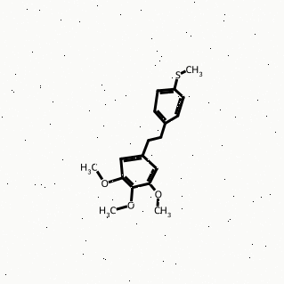 COc1cc(CCc2ccc(SC)cc2)cc(OC)c1OC